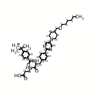 CCCCCCOCC1CCN(c2cnc(-c3ccc(C[C@H](NC(=O)c4ccc(C(C)(C)C)cc4)C(=O)NCCC(=O)O)cc3)nc2)CC1